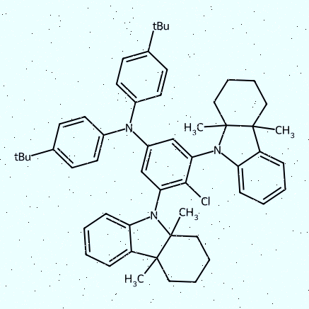 CC(C)(C)c1ccc(N(c2ccc(C(C)(C)C)cc2)c2cc(N3c4ccccc4C4(C)CCCCC34C)c(Cl)c(N3c4ccccc4C4(C)CCCCC34C)c2)cc1